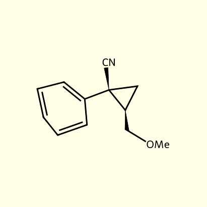 COC[C@@H]1C[C@@]1(C#N)c1ccccc1